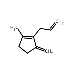 C=CCC1=C(C)CCC1=C